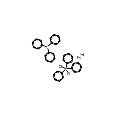 ClP(Cl)(c1ccccc1)(c1ccccc1)c1ccccc1.[Pd].[Pd].c1ccc(P(c2ccccc2)c2ccccc2)cc1